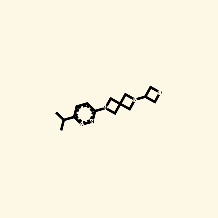 CC(C)c1ccc(N2CC3(C2)CN(C2COC2)C3)nn1